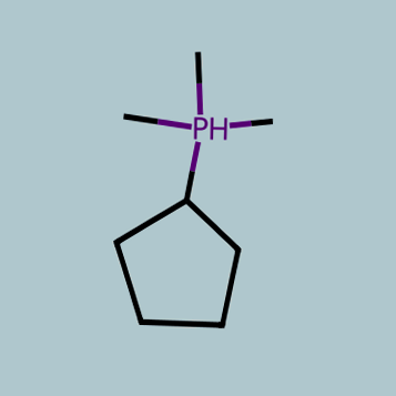 C[PH](C)(C)C1CCCC1